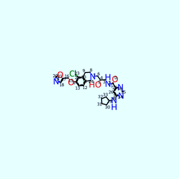 O=C(NCC(O)CN1CCc2c(ccc(OCc3cnco3)c2Cl)C1)c1cc(NC2CCCC2)ncn1